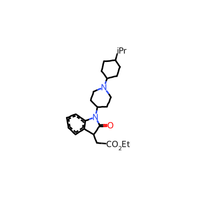 CCOC(=O)CC1C(=O)N(C2CCN(C3CCC(C(C)C)CC3)CC2)c2ccccc21